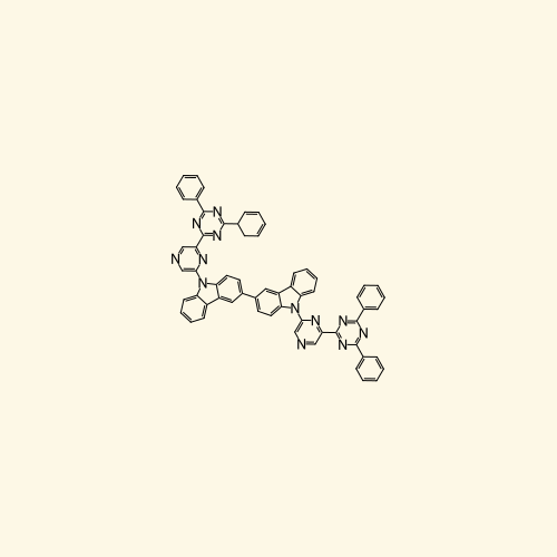 C1=CCC(c2nc(-c3ccccc3)nc(-c3cncc(-n4c5ccccc5c5cc(-c6ccc7c(c6)c6ccccc6n7-c6cncc(-c7nc(-c8ccccc8)nc(-c8ccccc8)n7)n6)ccc54)n3)n2)C=C1